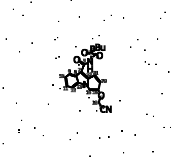 CCCCS(=O)(=O)NC(=O)c1c2ccccc2n2cc(OCC#N)ccc12